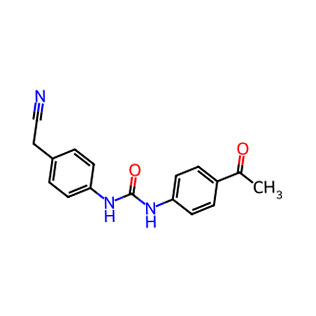 CC(=O)c1ccc(NC(=O)Nc2ccc(CC#N)cc2)cc1